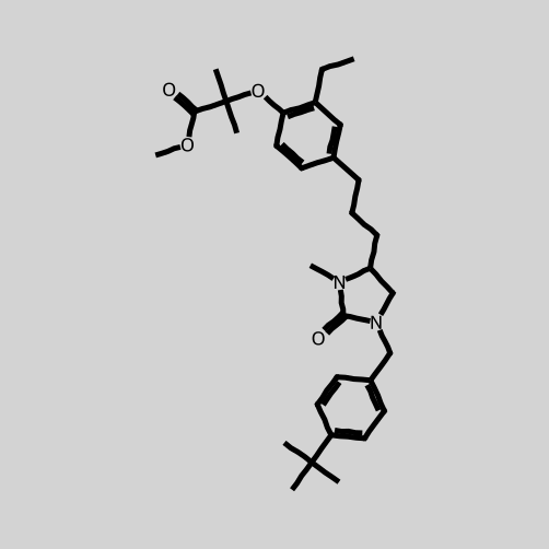 CCc1cc(CCCC2CN(Cc3ccc(C(C)(C)C)cc3)C(=O)N2C)ccc1OC(C)(C)C(=O)OC